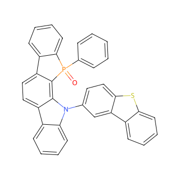 O=P1(c2ccccc2)c2ccccc2-c2ccc3c4ccccc4n(-c4ccc5sc6ccccc6c5c4)c3c21